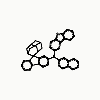 c1ccc2c(c1)-c1ccc(N(c3ccc4ccccc4c3)c3ccc4sc5ccccc5c4c3)cc1C21C2CC3CC(C2)CC1C3